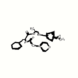 COc1ccc(NC[C@H](C)NC(=O)[C@H](CC2CCCCC2)NC(=O)ON2CCOCC2)cc1